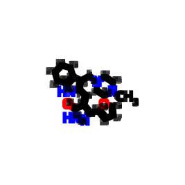 CN1CCN(Cc2c(C=C3C(=O)NN=C3c3ccco3)[nH]c3c2CCCC3)CC1